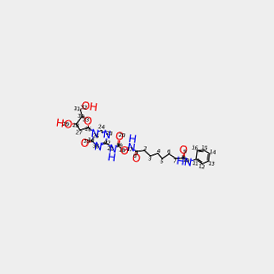 O=C(CCCCCCC(=O)Nc1ccccc1)NOC(=O)Nc1ncn(C2CC(O)C(CO)O2)c(=O)n1